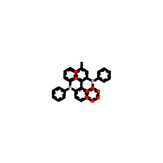 Cc1cc(P(c2ccccc2)c2ccccc2)c(-c2c(P(c3ccccc3)c3ccccc3)ccc3ccccc23)c(C)c1C